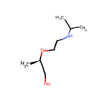 CC(C)NCCO[C@H](C)CO